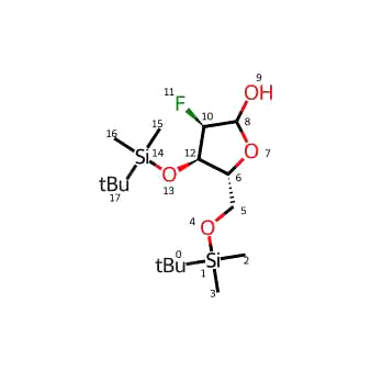 CC(C)(C)[Si](C)(C)OC[C@H]1OC(O)[C@H](F)[C@@H]1O[Si](C)(C)C(C)(C)C